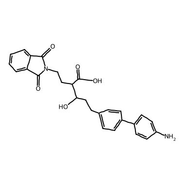 Nc1ccc(-c2ccc(CCC(O)C(CCN3C(=O)c4ccccc4C3=O)C(=O)O)cc2)cc1